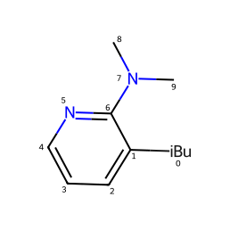 CCC(C)c1cccnc1N(C)C